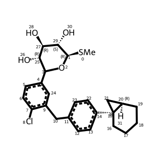 CS[C@H]1OC(c2ccc(Cl)c(Cc3ccc([C@@]45CCCC[C@@H]4C5)cc3)c2)[C@H](O)[C@@H](O)[C@@H]1O